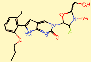 CCCOc1cccc(C)c1-c1cc2cn(C3OC(CO)N(O)C3F)c(=O)nc2[nH]1